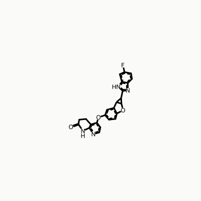 O=C1CCc2c(Oc3ccc4c(c3)C3C(O4)C3c3nc4ccc(F)cc4[nH]3)ccnc2N1